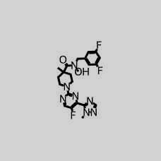 Cn1ncnc1-c1nc(N2CCC(C)(C(=O)N(O)Cc3cc(F)cc(F)c3)CC2)ncc1F